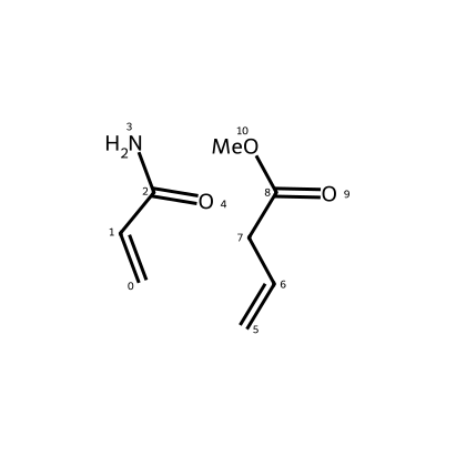 C=CC(N)=O.C=CCC(=O)OC